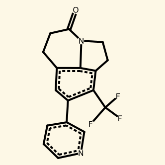 O=C1CCc2cc(-c3cccnc3)c(C(F)(F)F)c3c2N1CC3